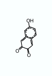 O=C1C=c2ccc(O)cc2=CC1=O